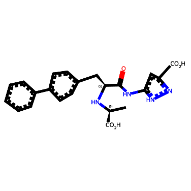 C[C@H](N[C@@H](Cc1ccc(-c2ccccc2)cc1)C(=O)Nc1cc(C(=O)O)n[nH]1)C(=O)O